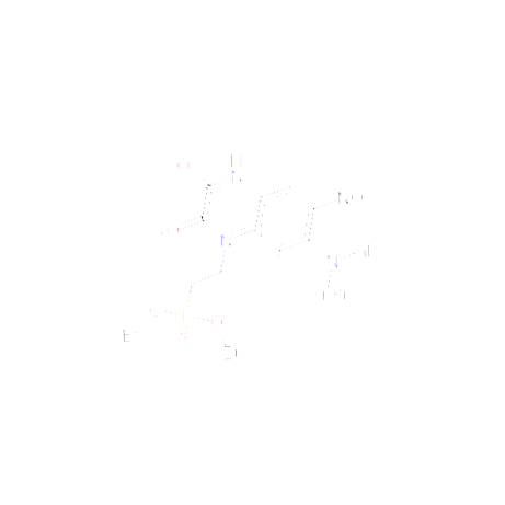 CCCN(CCC)c1cc2c(cc1[N+](=O)[O-])[nH]c(=O)c(=O)n2CCP(=O)(OCC)OCC